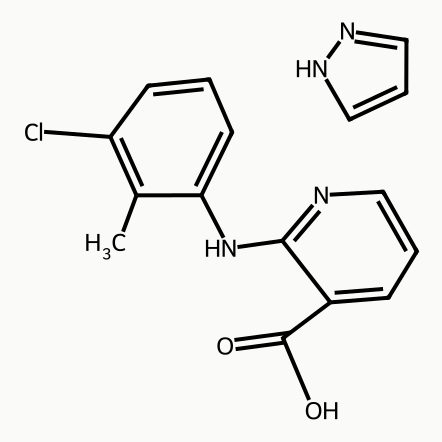 Cc1c(Cl)cccc1Nc1ncccc1C(=O)O.c1cn[nH]c1